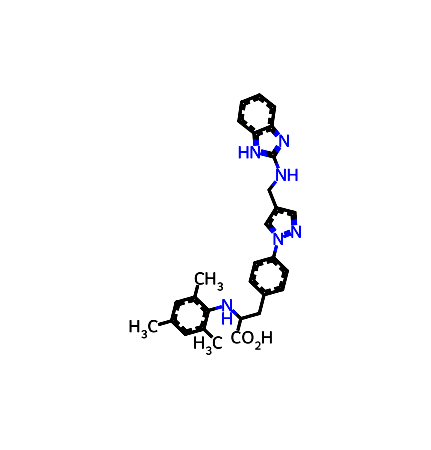 Cc1cc(C)c(NC(Cc2ccc(-n3cc(CNc4nc5ccccc5[nH]4)cn3)cc2)C(=O)O)c(C)c1